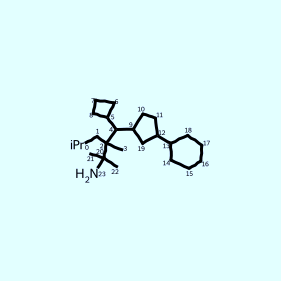 CC(C)CC(C)(C(C1CCC1)C1CCC(C2CCCCC2)C1)C(C)(C)N